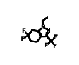 CCn1nc(C(F)(F)F)c2c1CC(F)(F)CC2